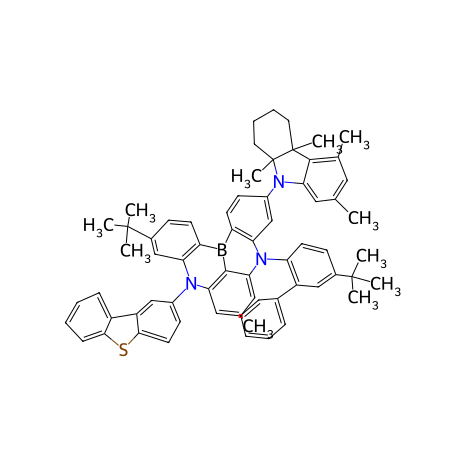 Cc1cc2c3c(c1)N(c1ccc(C(C)(C)C)cc1-c1ccccc1)c1cc(N4c5cc(C)cc(C)c5C5(C)CCCCC45C)ccc1B3c1ccc(C(C)(C)C)cc1N2c1ccc2sc3ccccc3c2c1